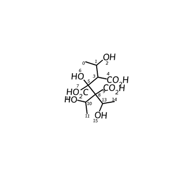 CC(O)C(C(=O)O)C(O)(C(=O)O)C(C(=O)O)(C(C)O)C(C)O